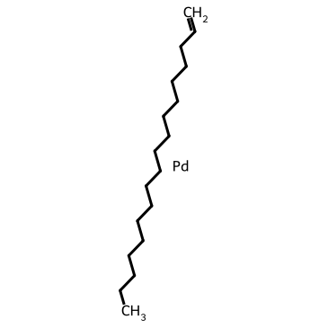 C=CCCCCCCCCCCCCCCCC.[Pd]